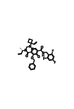 C=C[C@H](C)N1CN(C2(C=C)CCC2)n2cc(C(=O)NCc3c(F)cc(F)cc3F)c(=O)c(OCc3ccccc3)c2C1=O